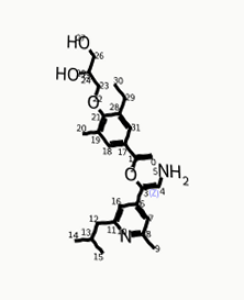 C=C(O/C(=C\N)c1cc(C)nc(CC(C)C)c1)c1cc(C)c(OC[C@@H](O)CO)c(CC)c1